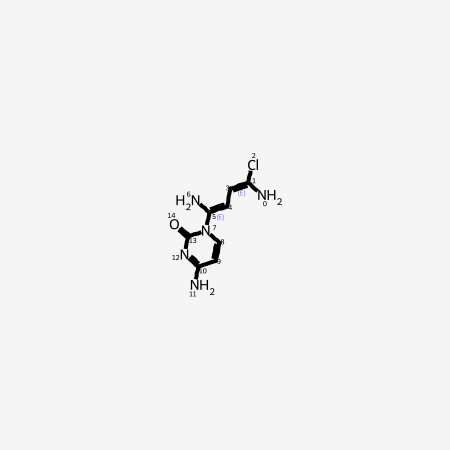 N/C(Cl)=C\C=C(/N)n1ccc(N)nc1=O